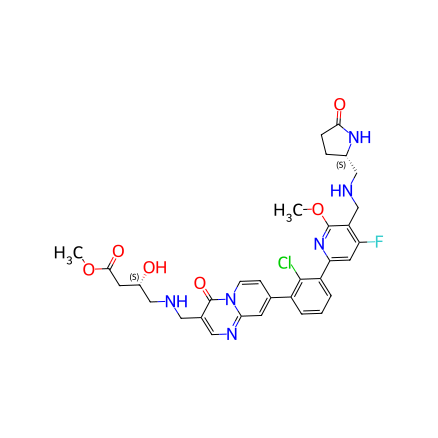 COC(=O)C[C@H](O)CNCc1cnc2cc(-c3cccc(-c4cc(F)c(CNC[C@@H]5CCC(=O)N5)c(OC)n4)c3Cl)ccn2c1=O